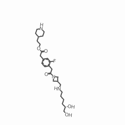 O=C(Cc1ccc(CC(=O)N2CC(CNCCCC[C@H](O)CO)C2)c(F)c1)OCCC1CCNCC1